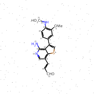 COc1cc(-c2csc3c(C=CC=O)cnc(N)c23)ccc1NC(=O)O